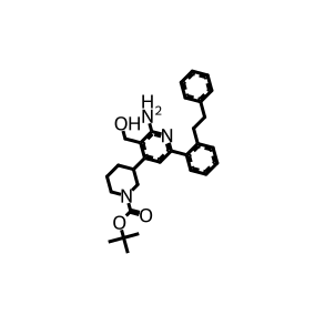 CC(C)(C)OC(=O)N1CCCC(c2cc(-c3ccccc3CCc3ccccc3)nc(N)c2CO)C1